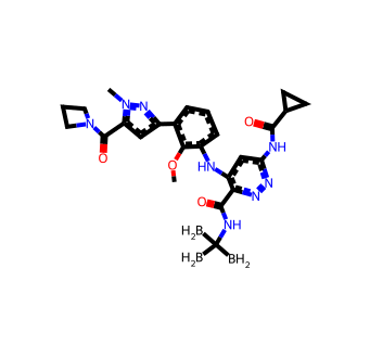 BC(B)(B)NC(=O)c1nnc(NC(=O)C2CC2)cc1Nc1cccc(-c2cc(C(=O)N3CCC3)n(C)n2)c1OC